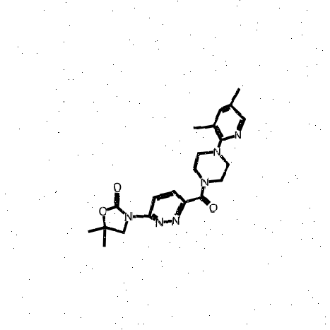 Cc1cnc(N2CCN(C(=O)c3ccc(N4CC(C)(C)OC4=O)nn3)CC2)c(C)c1